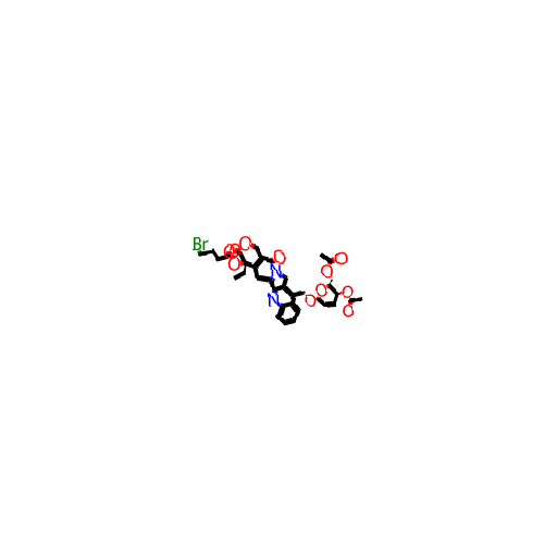 CC[C@@]1(OC(=O)CCCBr)C(=O)OCc2c1cc1n(c2=O)Cc2c-1nc1ccccc1c2CO[C@@H]1C=C[C@H](OC(C)=O)[C@@H](COC(C)=O)O1